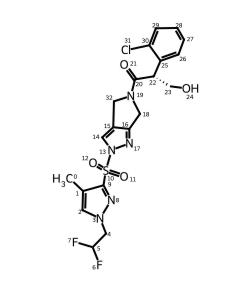 Cc1cn(CC(F)F)nc1S(=O)(=O)n1cc2c(n1)CN(C(=O)[C@@H](CO)c1ccccc1Cl)C2